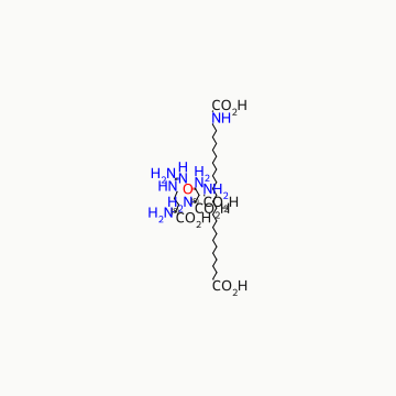 N=C(N)NCCC[C@H](N)C(=O)O.NC(=O)C[C@H](N)C(=O)O.NCC(=O)O.O=C(O)CCCCCCCCCCCCCCCCCCCCCCCCCNCC(=O)O